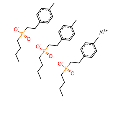 CCCCP(=O)([O-])CCc1ccc(C)cc1.CCCCP(=O)([O-])CCc1ccc(C)cc1.CCCCP(=O)([O-])CCc1ccc(C)cc1.[Al+3]